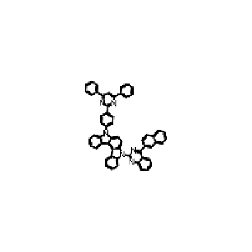 c1ccc(-c2cc(-c3ccccc3)nc(-c3ccc(-n4c5ccccc5c5c6c7ccccc7n(-c7nc(-c8ccc9ccccc9c8)c8ccccc8n7)c6ccc54)cc3)n2)cc1